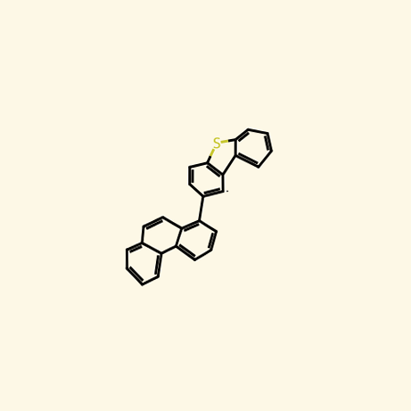 [c]1c(-c2cccc3c2ccc2ccccc23)ccc2sc3ccccc3c12